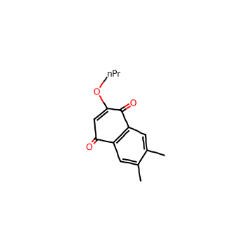 CCCOC1=CC(=O)c2cc(C)c(C)cc2C1=O